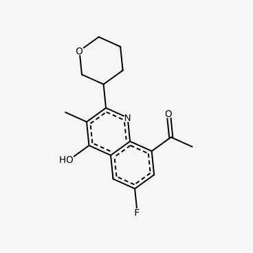 CC(=O)c1cc(F)cc2c(O)c(C)c(C3CCCOC3)nc12